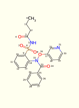 CCCC(=O)NS(=O)(=O)c1ccccc1N(Oc1cccnc1)C(=O)c1ccccc1